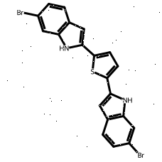 Brc1ccc2cc(-c3ccc(-c4cc5ccc(Br)cc5[nH]4)s3)[nH]c2c1